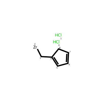 Cl.Cl.[Zr][CH2]C1=CC=CC1